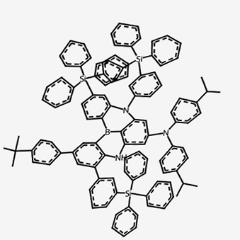 CC(C)c1ccc(N(c2ccc(C(C)C)cc2)c2cc3c4c(c2)N(c2cccc([Si](c5ccccc5)(c5ccccc5)c5ccccc5)c2)c2cc([Si](c5ccccc5)(c5ccccc5)c5ccccc5)ccc2B4c2cc(-c4ccc(C(C)(C)C)cc4)cc(-c4cccc([Si](c5ccccc5)(c5ccccc5)c5ccccc5)c4)c2N3)cc1